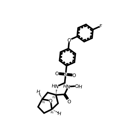 O=C(NO)[C@@]1(NCS(=O)(=O)c2ccc(Oc3ccc(F)cc3)cc2)C[C@H]2CC[C@@H](C1)O2